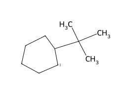 CC(C)(C)C1[C]CCCC1